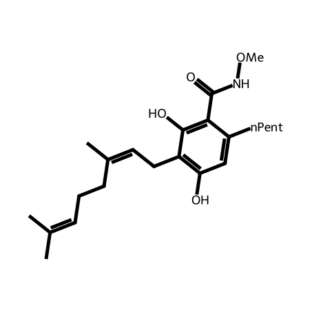 CCCCCc1cc(O)c(CC=C(C)CCC=C(C)C)c(O)c1C(=O)NOC